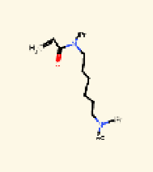 C=CC(=O)N(CCCCCCN(C(C)=O)C(C)C)C(C)C